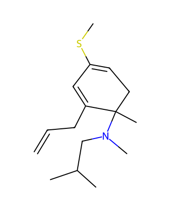 C=CCC1=CC(SC)=CCC1(C)N(C)CC(C)C